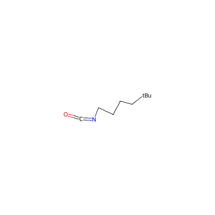 CC(C)(C)CCCCN=C=O